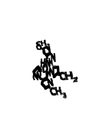 C=C1C[C@@H](c2nc3ccc(OC)cc3[nH]2)N(C(=O)c2nc(C)ccc2-n2cccn2)C1